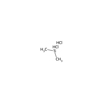 Cl.Cl.[CH3][Ti][CH3]